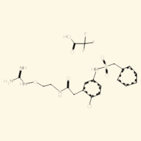 N=C(N)NOCCNC(=O)Cc1cc(NS(=O)(=O)Cc2ccccc2)ccc1Cl.O=C(O)C(F)(F)F